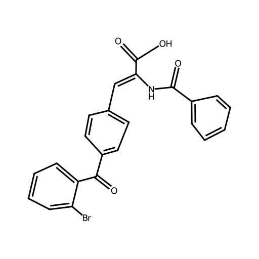 O=C(O)C(=Cc1ccc(C(=O)c2ccccc2Br)cc1)NC(=O)c1ccccc1